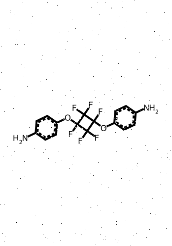 Nc1ccc(OC2(F)C(F)(F)C(F)(Oc3ccc(N)cc3)C2(F)F)cc1